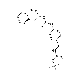 CC(C)(C)OC(=O)NCc1ccc(OC(=O)Oc2ccc3ccccc3c2)cc1